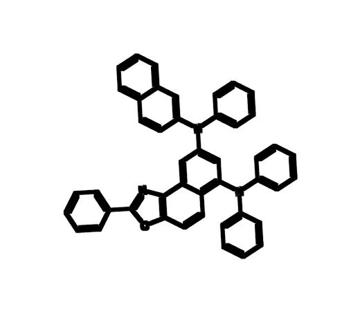 c1ccc(-c2nc3c(ccc4c(N(c5ccccc5)c5ccccc5)cc(N(c5ccccc5)c5ccc6ccccc6c5)cc43)o2)cc1